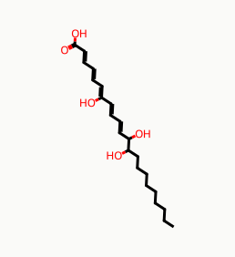 CCCCCCCCCC(O)C(O)/C=C/C=C/C(O)=C/C=C/C=C/C(=O)O